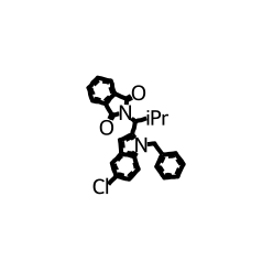 CC(C)C(c1cc2cc(Cl)ccc2n1Cc1ccccc1)N1C(=O)c2ccccc2C1=O